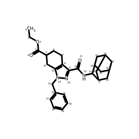 CCOC(=O)C1CCc2c(C(=O)NC3C4CC5CC(C4)CC3C5)nn(Cc3ccccc3)c2C1